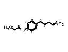 C=CCCCc1ccc(OCCC)cc1